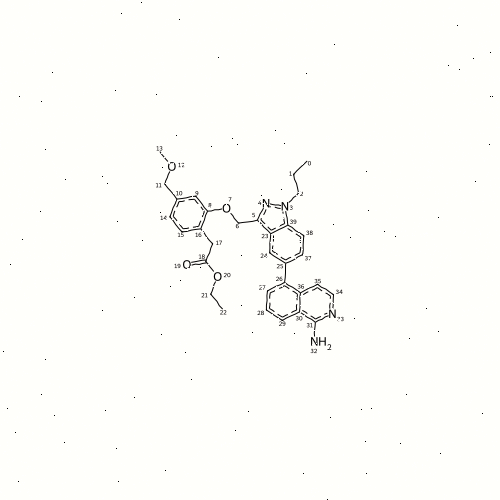 CCCn1nc(COc2cc(COC)ccc2CC(=O)OCC)c2cc(-c3cccc4c(N)nccc34)ccc21